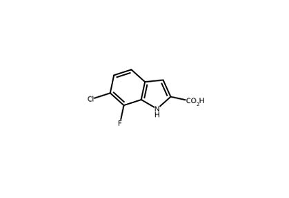 O=C(O)c1cc2ccc(Cl)c(F)c2[nH]1